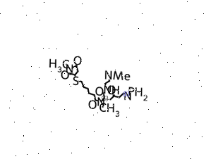 CNCCNC(=O)[C@H](CC(=O)C/C=N/P)N(C)C(=O)CCCCCSC1CC(=O)N(C)C1=O